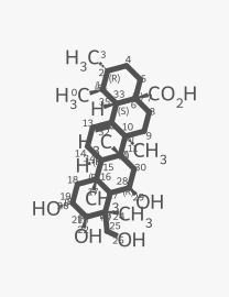 C[C@H]1[C@H](C)CC[C@]2(C(=O)O)CC[C@]3(C)C(=CC[C@@H]4[C@@]5(C)C[C@@H](O)[C@H](O)[C@@](C)(CO)C5[C@H](O)C[C@]43C)[C@H]12